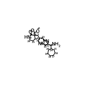 COC(=O)C1(Cc2cnn3cc(C(N)C4CCCCCC4)nc3c2)CCCNC1=O